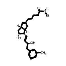 CCN(CC)C(=O)CCCCC1=C[C@H]2C[C@@H](O)[C@H](/C=C/[C@@H](O)Cc3cccc(C)c3)[C@H]2C1